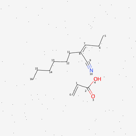 C=CC(=O)O.CCC=C(C#N)CCCCCC